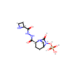 O=C(NNC(=O)[C@@H]1CCC2CN1C(=O)N2OS(=O)(=O)O)C1CCN1